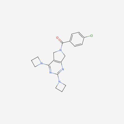 O=C(c1ccc(Cl)cc1)N1Cc2nc(N3CCC3)nc(N3CCC3)c2C1